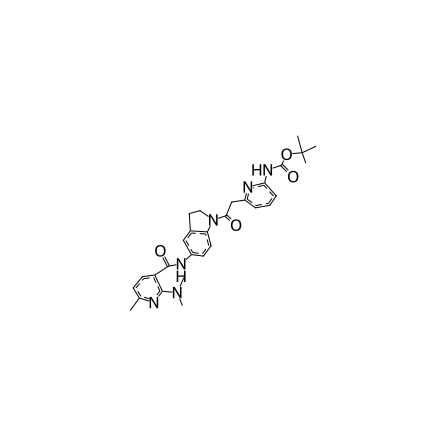 Cc1ccc(C(=O)Nc2ccc3c(c2)CCN3C(=O)Cc2cccc(NC(=O)OC(C)(C)C)n2)c(N(C)C)n1